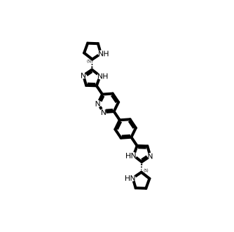 c1cc(-c2cnc([C@@H]3CCCN3)[nH]2)ccc1-c1ccc(-c2cnc([C@@H]3CCCN3)[nH]2)nn1